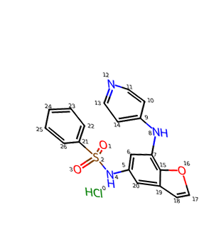 Cl.O=S(=O)(Nc1cc(Nc2ccncc2)c2occc2c1)c1ccccc1